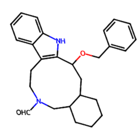 O=CN1CCc2c([nH]c3ccccc23)C(OCc2ccccc2)CC2CCCCC2C1